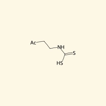 CC(=O)CCNC(=S)S